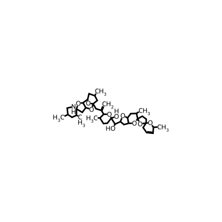 C=C(CC12CC(C)CC(O1)C1OC3(CC1O2)NCC(C)CC3C)C1OC(O)(C(O)C2CC3OC4(CCC5(CC=CC(C)O5)O4)C(C)CC3O2)CCC1C